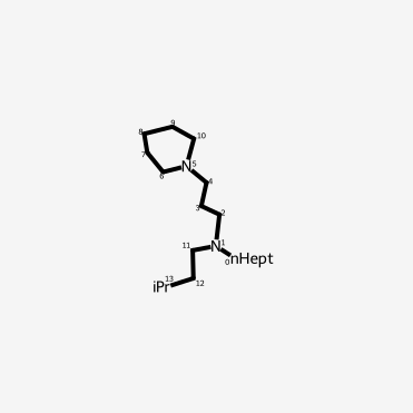 CCCCCCCN(CCCN1CCCCC1)CCC(C)C